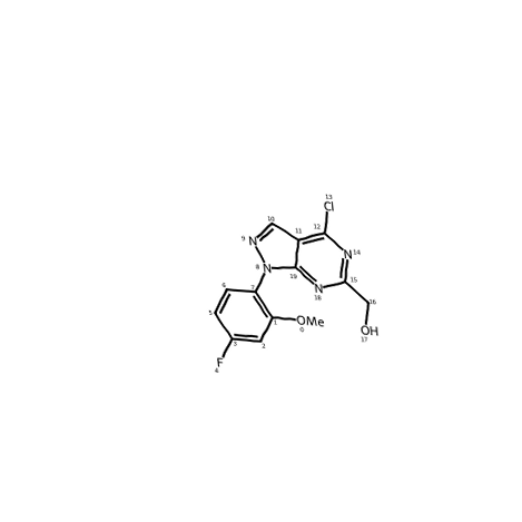 COc1cc(F)ccc1-n1ncc2c(Cl)nc(CO)nc21